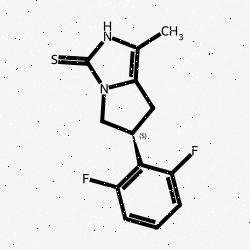 Cc1[nH]c(=S)n2c1C[C@@H](c1c(F)cccc1F)C2